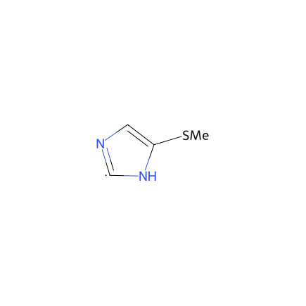 CSc1cn[c][nH]1